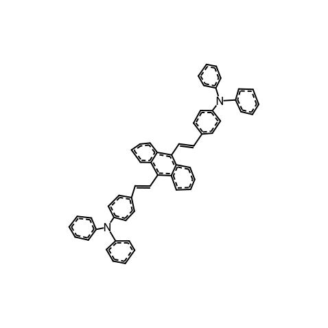 C(=Cc1c2ccccc2c(/C=C/c2ccc(N(c3ccccc3)c3ccccc3)cc2)c2ccccc12)c1ccc(N(c2ccccc2)c2ccccc2)cc1